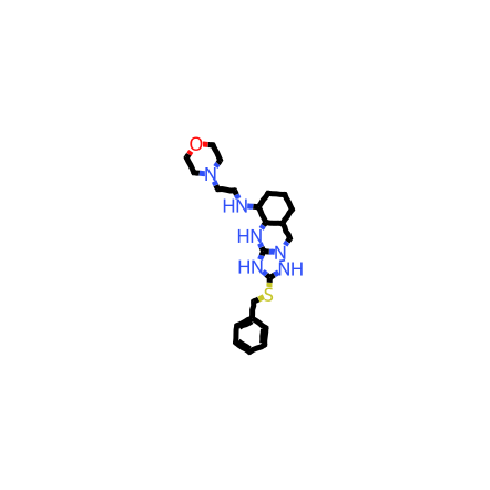 c1ccc(CSC2NC3NC4C(CCCC4NCCN4CCOCC4)CN3N2)cc1